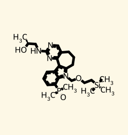 C[C@H](O)CNc1ncc2c(n1)-c1c(n(COCC[Si](C)(C)C)c3c(P(C)(C)=O)cccc13)CCC2